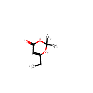 CCC1=CC(=O)OC(C)(C)O1